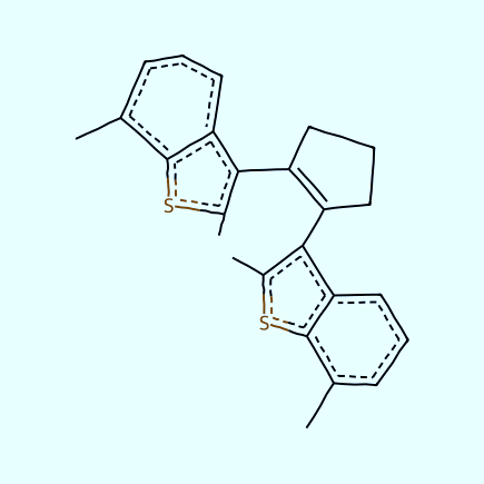 Cc1sc2c(C)cccc2c1C1=C(c2c(C)sc3c(C)cccc23)CCC1